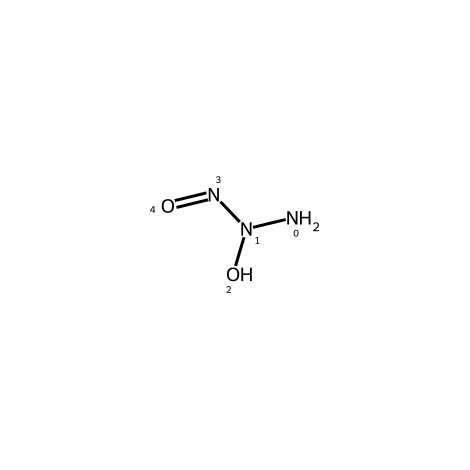 NN(O)N=O